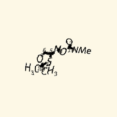 CNC(=O)ON=C1COC(C)(C)S1